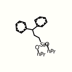 CCCO[SiH](CCC(c1ccccc1)c1ccccc1)OCCC